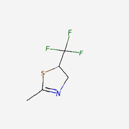 CC1=NCC(C(F)(F)F)S1